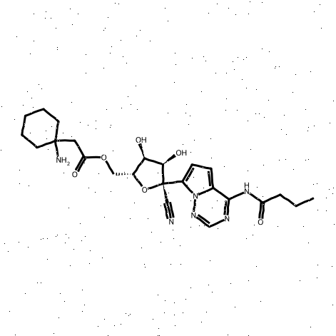 CCCC(=O)Nc1ncnn2c([C@]3(C#N)O[C@H](COC(=O)CC4(N)CCCCC4)[C@@H](O)[C@H]3O)ccc12